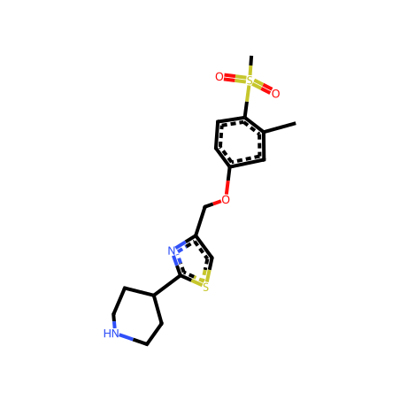 Cc1cc(OCc2csc(C3CCNCC3)n2)ccc1S(C)(=O)=O